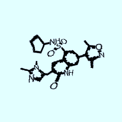 Cc1noc(C)c1-c1cc(S(=O)(=O)NC2CCCC2)c2cc(-c3cnc(C)n3C)c(=O)[nH]c2c1